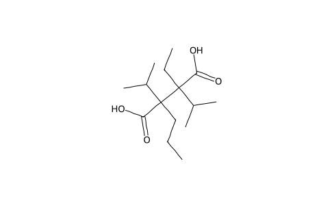 CCCC(C(=O)O)(C(C)C)C(CC)(C(=O)O)C(C)C